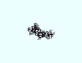 CC(F)(F)C(=O)OC12CC3CC(C1)C1(OCC(CC(F)(F)F)(C(F)(F)F)CO1)C(C3)C2